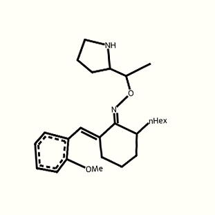 CCCCCCC1CCCC(=C\c2ccccc2OC)/C1=N/OC(C)C1CCCN1